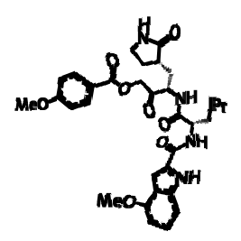 COc1ccc(C(=O)OCC(=O)[C@H](C[C@@H]2CCNC2=O)NC(=O)[C@H](CC(C)C)NC(=O)c2cc3c(OC)cccc3[nH]2)cc1